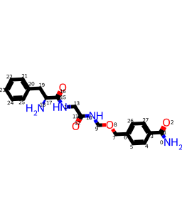 NC(=O)c1ccc(COCNC(=O)CNC(=O)[C@@H](N)Cc2ccccc2)cc1